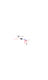 CC#CC[C@H](C)[C@@H](/C=C/[C@@H]1[C@H]2CC(=O)C[C@H]2C[C@H]1C)O[Si](C)(C)C(C)(C)C